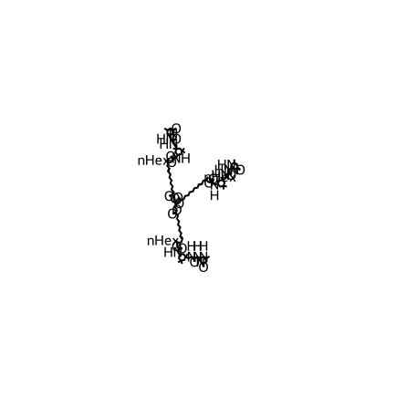 CCCCCCC(C/C=C/CCCCCCCC(=O)OCC(COC(=O)CCCCCCC/C=C/CC(CCCCCC)OC(=O)NC1CC(C)(C)CC(C)(CNC(=O)Nc2nc(=O)cc(C)[nH]2)C1)OC(=O)CCCCCCC/C=C/CC(CCCCCC)OC(=O)NC1CC(C)(C)CC(C)(CNC(=O)Nc2nc(=O)cc(C)[nH]2)C1)OC(=O)NC1CC(C)(C)CC(C)(CNC(=O)NC2=NC(=O)C=C(C)C2)C1